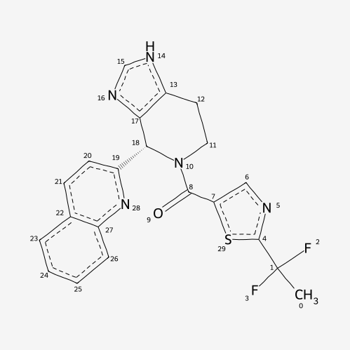 CC(F)(F)c1ncc(C(=O)N2CCc3[nH]cnc3[C@H]2c2ccc3ccccc3n2)s1